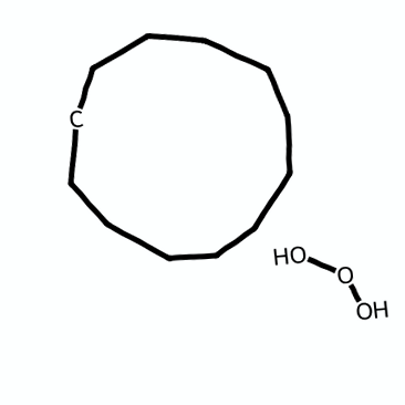 C1CCCCCCCCCCC1.OOO